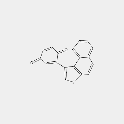 O=C1C=CC(=O)C(c2csc3ccc4ccccc4c23)=C1